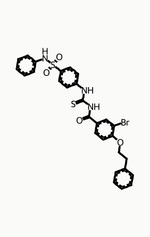 O=C(NC(=S)Nc1ccc(S(=O)(=O)Nc2ccccc2)cc1)c1ccc(OCCc2ccccc2)c(Br)c1